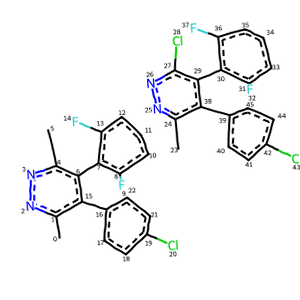 Cc1nnc(C)c(-c2c(F)cccc2F)c1-c1ccc(Cl)cc1.Cc1nnc(Cl)c(-c2c(F)cccc2F)c1-c1ccc(Cl)cc1